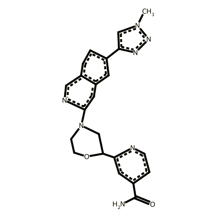 Cn1cc(-c2ccc3cnc(N4CCOC(c5cc(C(N)=O)ccn5)C4)cc3c2)nn1